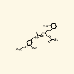 COCOc1ccc(CNC(=S)NCC(CCc2ccccc2C(C)(C)C)COC(=O)C(C)(C)C)cc1OC